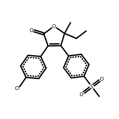 CCC1(C)OC(=O)C(c2ccc(Cl)cc2)=C1c1ccc(S(C)(=O)=O)cc1